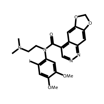 COc1cc(I)c(N(CCN(C)C)C(=O)c2cnnc3cc4c(cc23)OCO4)cc1OC